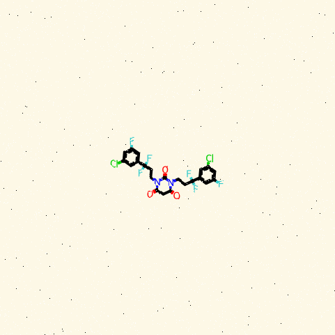 O=C1CC(=O)N(CCC(F)(F)c2cc(F)cc(Cl)c2)C(=O)N1CCC(F)(F)c1cc(F)cc(Cl)c1